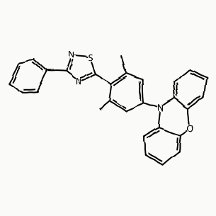 Cc1cc(N2c3ccccc3Oc3ccccc32)cc(C)c1-c1nc(-c2ccccc2)ns1